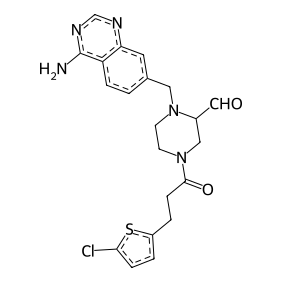 Nc1ncnc2cc(CN3CCN(C(=O)CCc4ccc(Cl)s4)CC3C=O)ccc12